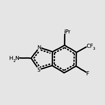 CC(C)c1c(C(F)(F)F)c(F)cc2sc(N)nc12